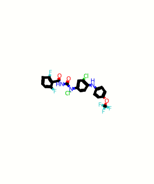 O=C(NC(=O)N(Cl)c1ccc(Nc2ccc(OC(F)(F)F)cc2)c(Cl)c1)c1c(F)cccc1F